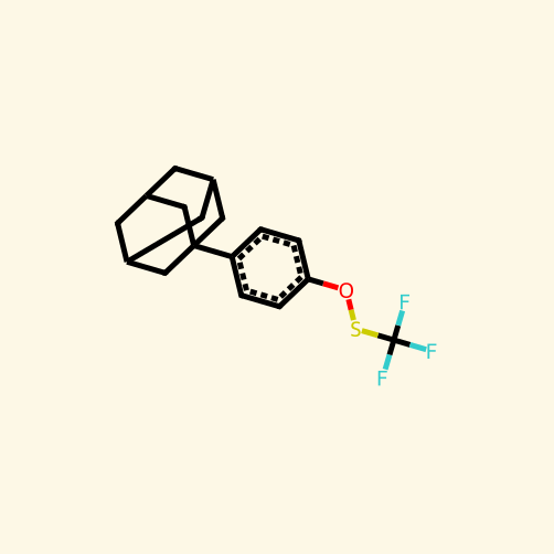 FC(F)(F)SOc1ccc(C23CC4CC(CC(C4)C2)C3)cc1